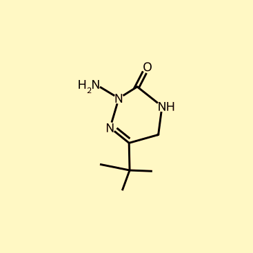 CC(C)(C)C1=NN(N)C(=O)NC1